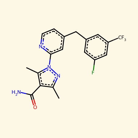 Cc1nn(-c2cc(Cc3cc(F)cc(C(F)(F)F)c3)ccn2)c(C)c1C(N)=O